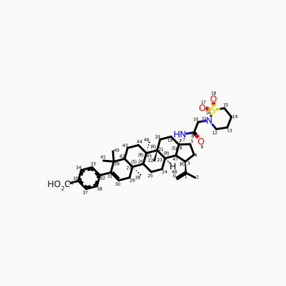 C=C(C)[C@@H]1CC[C@]2(NC(=O)CN3CCCCS3(=O)=O)CC[C@]3(C)[C@H](CCC4[C@@]5(C)CC=C(c6ccc(C(=O)O)cc6)C(C)(C)C5CC[C@]43C)C12